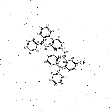 FC(F)(F)c1ccc(P(c2ccccc2)c2ccccc2)c(NCc2cccc(CP(c3ccccc3)c3ccccc3)n2)c1